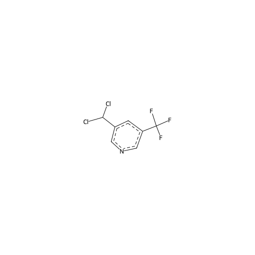 FC(F)(F)c1cncc(C(Cl)Cl)c1